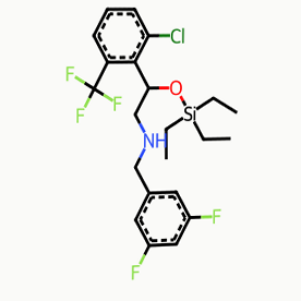 CC[Si](CC)(CC)OC(CNCc1cc(F)cc(F)c1)c1c(Cl)cccc1C(F)(F)F